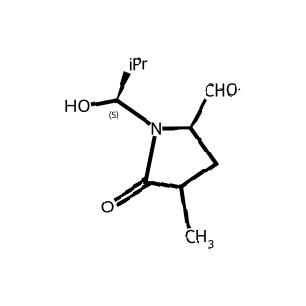 CC1CC([C]=O)N([C@@H](O)C(C)C)C1=O